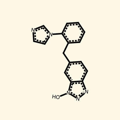 On1nnc2ccc(Cc3ccccc3-n3ccnc3)cc21